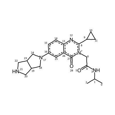 CC(C)NC(=O)Cn1c(C2CC2)nc2ccc(N3CC4CNCC4C3)cc2c1=O